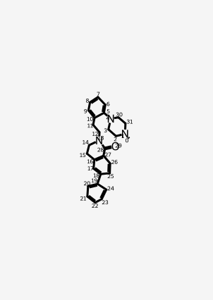 CN1CCN(c2ccccc2CCN2CCc3cc(-c4ccccc4)ccc3C2=O)CC1